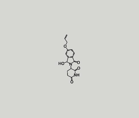 C=CCOc1ccc2c(c1)C(O)N(C1CCC(=O)NC1=O)C2=O